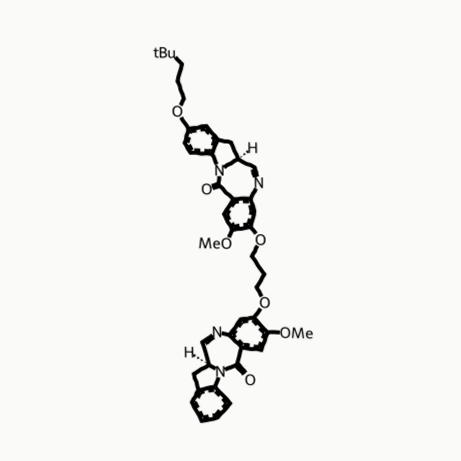 COc1cc2c(cc1OCCCOc1cc3c(cc1OC)C(=O)N1c4ccc(OCCCC(C)(C)C)cc4C[C@H]1C=N3)N=C[C@@H]1Cc3ccccc3N1C2=O